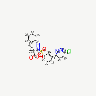 O=C(O)[C@@]1(NS(=O)(=O)c2cccc(-c3ccc(Cl)nn3)c2)C[C@H]1c1ccccc1